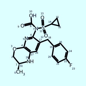 C[C@H]1COc2nc(N(C(=O)O)S(=O)(=O)C3CC3)c(Cc3ccc(F)cc3)cc2N1